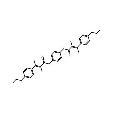 CCCc1ccc(/C(C)=C(\C)C(=O)Cc2ccc(CC(=O)/C(C)=C(\C)c3ccc(CCC)cc3)cc2)cc1